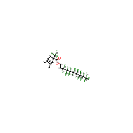 CC1C2CC(C1C)C(C(=O)OCCC(F)(F)C(F)(F)C(F)(F)C(F)(F)C(F)(F)C(F)(F)C(F)(F)C(F)(F)F)(C(F)(F)F)C2